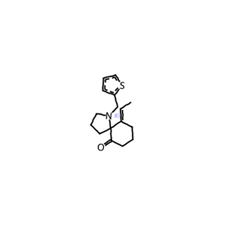 C/C=C1\CCCC(=O)C12CCCN2Cc1cccs1